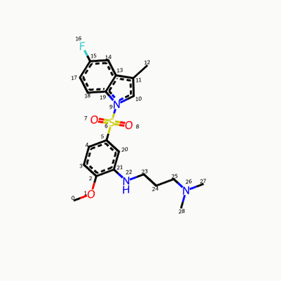 COc1ccc(S(=O)(=O)n2cc(C)c3cc(F)ccc32)cc1NCCCN(C)C